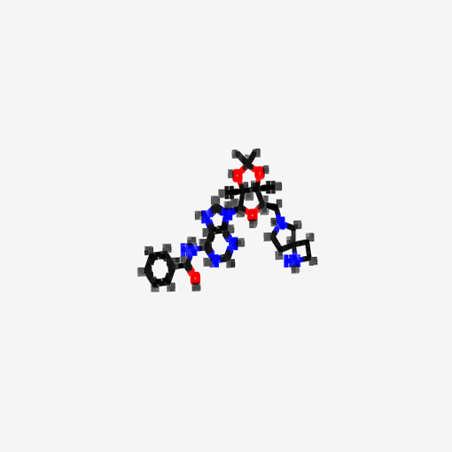 CC1(C)O[C@@H]2[C@H](O1)[C@@H](CN1CCC3(CCN3)C1)O[C@H]2n1cnc2c(NC(=O)c3ccccc3)ncnc21